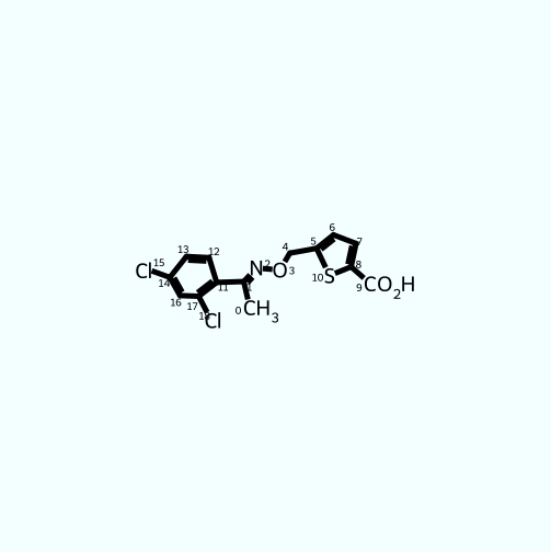 CC(=NOCc1ccc(C(=O)O)s1)c1ccc(Cl)cc1Cl